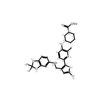 COC(=O)[C@H]1CCC[C@H](Oc2ccc(-c3sc(Cl)cc3CNc3ccc4c(c3)OC(F)(F)O4)nc2C)C1